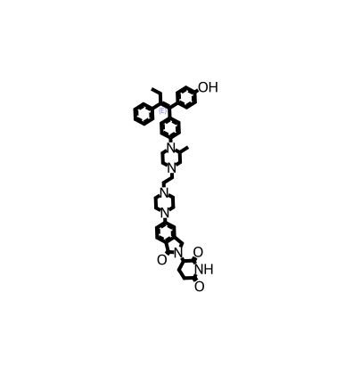 CC/C(=C(\c1ccc(O)cc1)c1ccc(N2CCN(CCN3CCN(c4ccc5c(c4)CN(C4CCC(=O)NC4=O)C5=O)CC3)CC2C)cc1)c1ccccc1